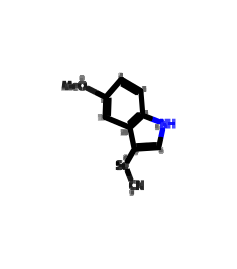 COc1ccc2[nH]cc([Se]C#N)c2c1